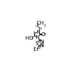 C=CCN1CC(O)N(c2nnc(CC)s2)C1=O